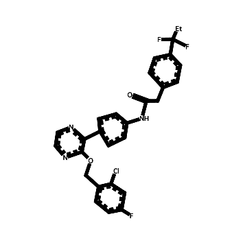 CCC(F)(F)c1ccc(CC(=O)Nc2ccc(-c3nccnc3OCc3ccc(F)cc3Cl)cc2)cc1